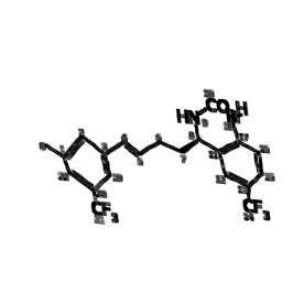 Cc1cc(C=CCC[C@@H](NC(=O)O)c2cc(C(F)(F)F)ccc2Br)cc(C(F)(F)F)c1